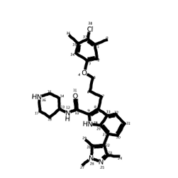 Cc1cc(OCCCc2c(C(=O)NC3CCNCC3)[nH]c3c(-c4c(C)nn(C)c4C)cccc23)cc(C)c1Cl